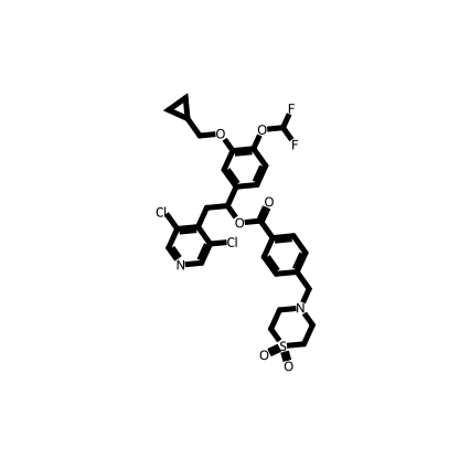 O=C(OC(Cc1c(Cl)cncc1Cl)c1ccc(OC(F)F)c(OCC2CC2)c1)c1ccc(CN2CCS(=O)(=O)CC2)cc1